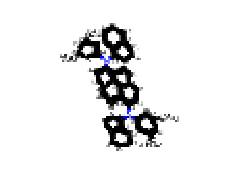 CC(C)(C)c1cc(N(c2cccc3ccccc23)c2ccc3ccc4c(N(c5cc(C(C)(C)C)cc(C(C)(C)C)c5)c5cccc6ccccc56)ccc5ccc2c3c54)cc(C(C)(C)C)c1